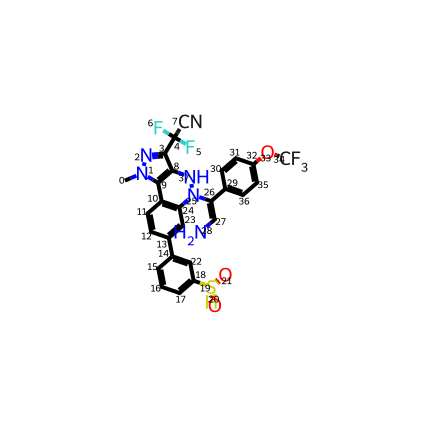 Cn1nc(C(F)(F)C#N)c2c1-c1ccc(-c3cccc([SH](=O)=O)c3)cc1N(/C(=C\N)c1ccc(OC(F)(F)F)cc1)N2